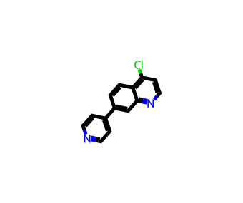 Clc1ccnc2cc(-c3ccncc3)ccc12